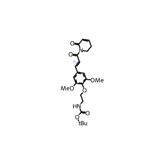 COc1cc(/C=C/C(=O)N2CCC=CC2=O)cc(OC)c1OCCNC(=O)OC(C)(C)C